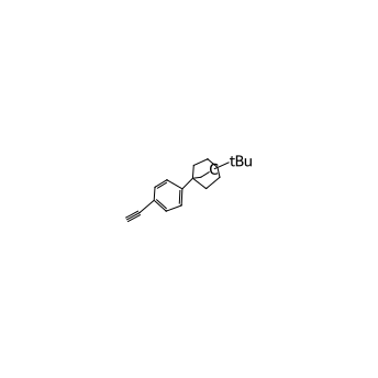 C#Cc1ccc(C23CCC(C(C)(C)C)(CC2)CC3)cc1